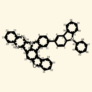 C1=CC2C(C=C1c1ccc3c(c1)c1c4c(cc5c6nc7ccccc7nc6n3c51)oc1ccccc14)c1ccccc1N2c1ccccc1